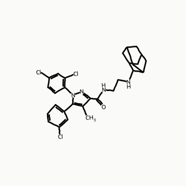 Cc1c(C(=O)NCCNC2C3CC4CC(C3)CC2C4)nn(-c2ccc(Cl)cc2Cl)c1-c1cccc(Cl)c1